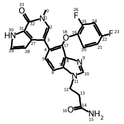 Cn1cc(-c2ccc3c(ncn3CCC(N)=O)c2Oc2ccc(F)cc2F)c2cc[nH]c2c1=O